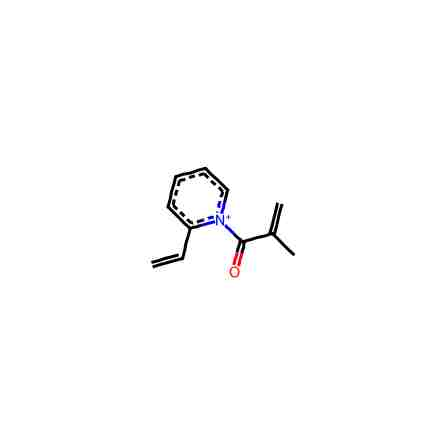 C=Cc1cccc[n+]1C(=O)C(=C)C